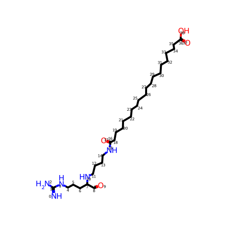 N=C(N)NCCCC(C=O)NCCCCNC(=O)CCCCCCCCCCCCCCCCCCC(=O)O